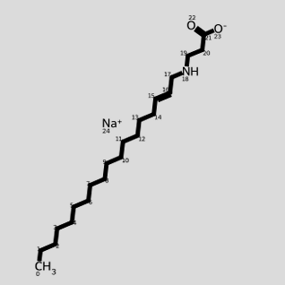 CCCCCCCCCCCCCCCC=CCNCCC(=O)[O-].[Na+]